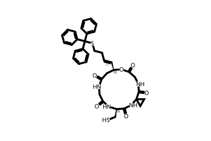 O=C1C[C@@H](/C=C/CCSC(c2ccccc2)(c2ccccc2)c2ccccc2)OC(=O)CNC(=O)C2(CC2)NC(=O)[C@@H](CS)NC(=O)CN1